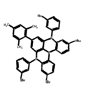 Cc1cc(C)c(-c2cc3c4c(c2)N(c2cccc(C(C)(C)C)c2)c2cc(C(C)(C)C)ccc2B4c2ccc(C(C)(C)C)cc2N3c2cccc(C(C)(C)C)c2)c(C)c1